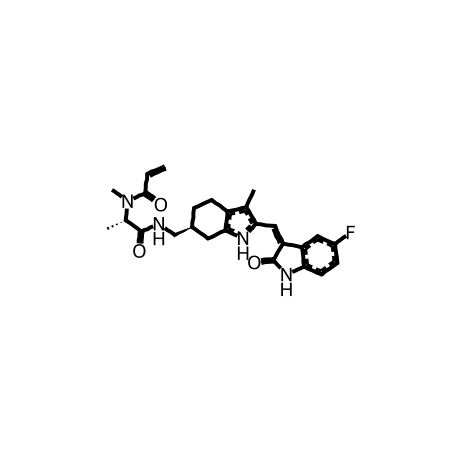 C=CC(=O)N(C)[C@@H](C)C(=O)NC[C@H]1CCc2c([nH]c(/C=C3\C(=O)Nc4ccc(F)cc43)c2C)C1